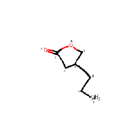 O=C1CC(CC[SiH3])CO1